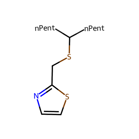 CCCCCC(CCCCC)SCc1nccs1